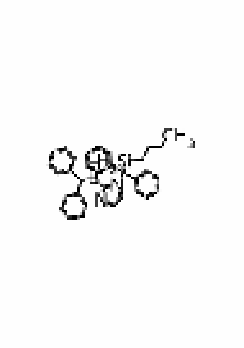 CCCC[SiH2]C(c1ccccc1)(c1ccccc1)n1ccnc1BC(c1ccccc1)c1ccccc1